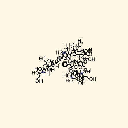 CCCCCCCCCCCC(CO[C@@H]1OC(CO)[C@@H](O[C@H]2OC(CO)[C@@H](O)C(O)C2O)C(O)C1O)(CO[C@H](O)/C(O)=C(/O)[C@@H](CCO)O[C@H](O)/C(O)=C(/O)[C@H](O)CCO)Cc1ccc(C[C@@](CCCCCCCCCCC)(CO[C@@H]2OC(CO)[C@@H](O[C@H](O)/C(O)=C(\O)[C@H](O)CCO)[C@H](O)C2O)CO[C@H](O)/C(O)=C(/O)[C@@H](CCO)OOC(CO)[C@@H](O)C(O)[C@@H](C)O)cc1